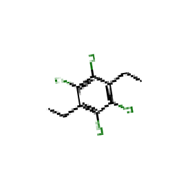 CCc1c(Cl)c(Cl)c(CC)c(Cl)c1Cl